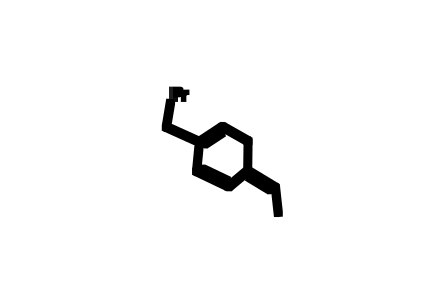 CC=C1C=CC(CC(C)C)=CC1